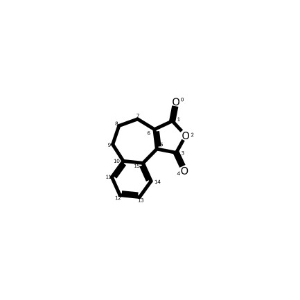 O=C1OC(=O)C2=C1CCCc1ccccc12